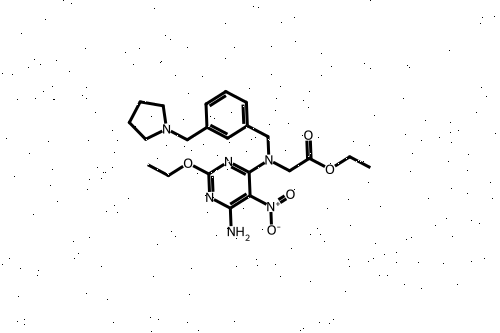 CCOC(=O)CN(Cc1cccc(CN2CCCC2)c1)c1nc(OCC)nc(N)c1[N+](=O)[O-]